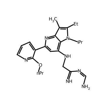 CCCOc1ncccc1-c1cc(NCC(=N)/N=C\N)c2c(n1)c(C)c(CC)n2C(C)C